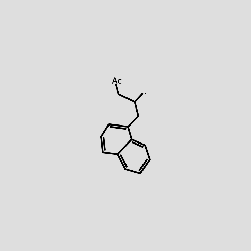 [CH2]C(CC(C)=O)Cc1cccc2ccccc12